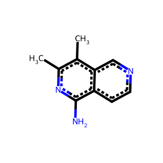 Cc1nc(N)c2ccncc2c1C